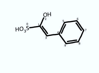 O=S(=O)(O)C(O)=Cc1ccccc1